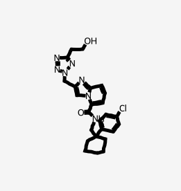 O=C(NCC1(c2ccc(Cl)cc2)CCCCC1)c1cccc2nc(Cn3nnc(CCO)n3)cn12